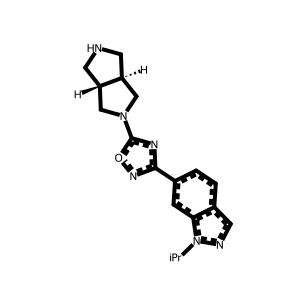 CC(C)n1ncc2ccc(-c3noc(N4C[C@@H]5CNC[C@H]5C4)n3)cc21